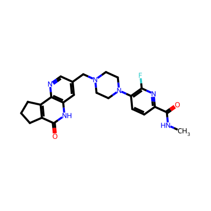 CNC(=O)c1ccc(N2CCN(Cc3cnc4c5c(c(=O)[nH]c4c3)CCC5)CC2)c(F)n1